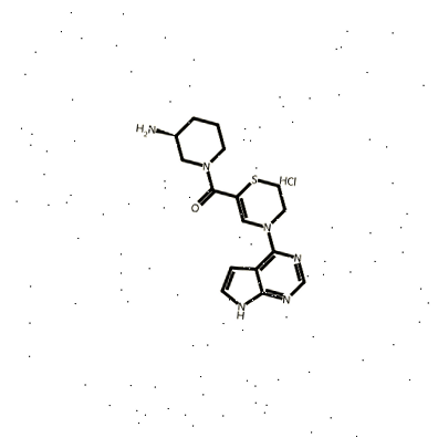 Cl.N[C@H]1CCCN(C(=O)C2=CN(c3ncnc4[nH]ccc34)CCS2)C1